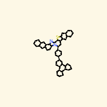 c1ccc2cc3c(ccc4c3nc3c5sc6cc7ccccc7cc6c5cc(-c5ccc(-c6ccc7c8ccccc8c8ccccc8c7c6)cc5)n43)cc2c1